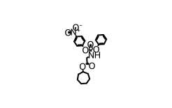 O=C(CNP(=O)(Oc1ccccc1)Oc1ccc([N+](=O)[O-])cc1)OC1CCCCCC1